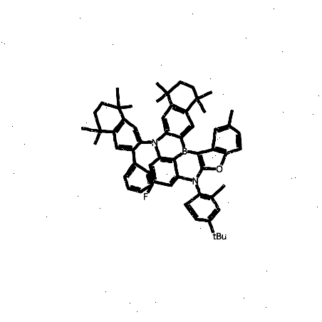 Cc1ccc2oc3c(c2c1)B1c2cc4c(cc2N(c2cc5c(cc2-c2ccccc2)C(C)(C)CCC5(C)C)c2cc(F)cc(c21)N3c1ccc(C(C)(C)C)cc1C)C(C)(C)CCC4(C)C